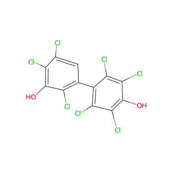 Oc1c(Cl)c(Cl)cc(-c2c(Cl)c(Cl)c(O)c(Cl)c2Cl)c1Cl